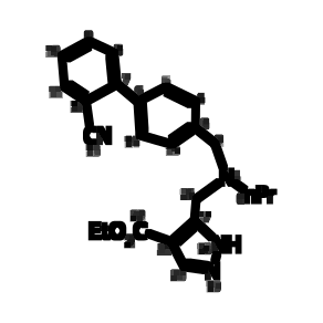 CCCN(Cc1ccc(-c2ccccc2C#N)cc1)Cc1[nH]ncc1C(=O)OCC